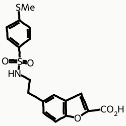 CSc1ccc(S(=O)(=O)NCCc2ccc3oc(C(=O)O)cc3c2)cc1